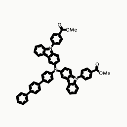 COC(=O)c1ccc(-n2c3ccccc3c3cc(N(c4ccc(-c5ccc(-c6ccccc6)cc5)cc4)c4ccc5c(c4)c4ccccc4n5-c4ccc(C(=O)OC)cc4)ccc32)cc1